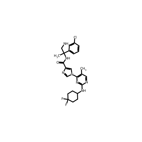 Cc1cnc(NC2CCC(F)(F)CC2)nc1-n1cnc(C(=O)NC(C)(CN)c2cccc(Cl)c2)c1